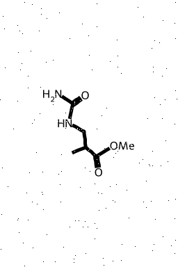 COC(=O)C(C)CNC(N)=O